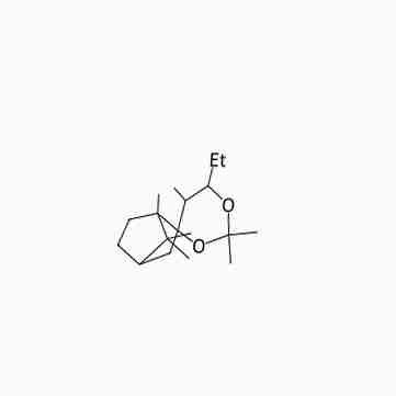 CCC1OC(C)(C)OC2(CC3CCC2(C)C3(C)C)C1C